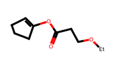 CCOCCC(=O)OC1=CCCC1